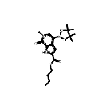 CCCCOC(=O)c1cc2c(B3OC(C)(C)C(C)(C)O3)cn(C)c(=O)c2[nH]1